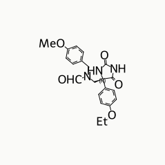 CCOc1ccc([C@]2(CN(C=O)Cc3ccc(OC)cc3)NC(=O)NC2=O)cc1